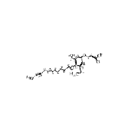 CCc1cc(OCC=C(Cl)Cl)cc(CC)c1OCCCCCCOCC/C=N/O